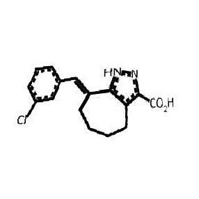 O=C(O)c1n[nH]c2c1CCCC/C2=C\c1cccc(Cl)c1